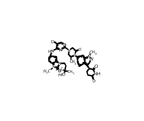 CC1CN(c2ncc(Cl)c(Nc3ccc4c(c3)n(CCC(C)(C)O)c(=O)n4C)n2)CC(=O)N1c1ccc2c(C3CCC(=O)NC3=O)nn(C)c2c1